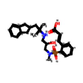 CN(CC(O)CNC(C)(C)CC1Cc2ccccc2C1)S(=O)(=O)c1ccccc1/C=C/C(=O)O